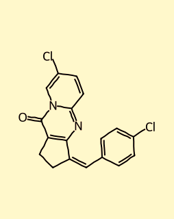 O=c1c2c(nc3ccc(Cl)cn13)/C(=C\c1ccc(Cl)cc1)CC2